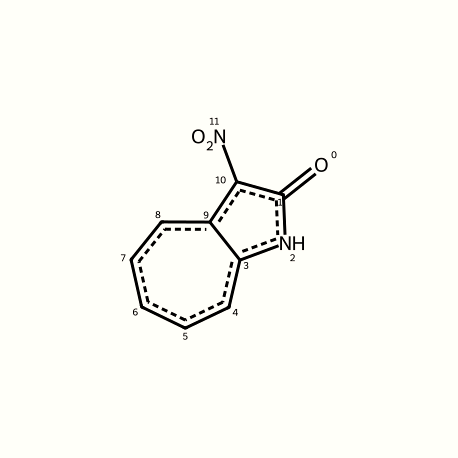 O=c1[nH]c2cccccc-2c1[N+](=O)[O-]